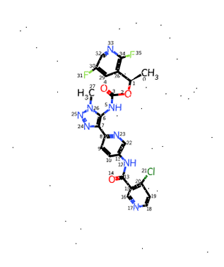 C[C@@H](OC(=O)Nc1c(-c2ccc(NC(=O)c3cnccc3Cl)cn2)nnn1C)c1cc(F)cnc1F